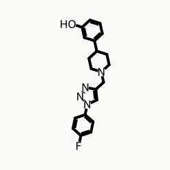 Oc1cccc(C2CCN(Cc3cn(-c4ccc(F)cc4)nn3)CC2)c1